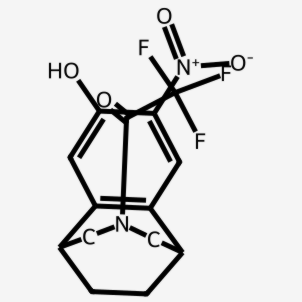 O=C(N1CC2CCC(C1)c1cc([N+](=O)[O-])c(O)cc12)C(F)(F)F